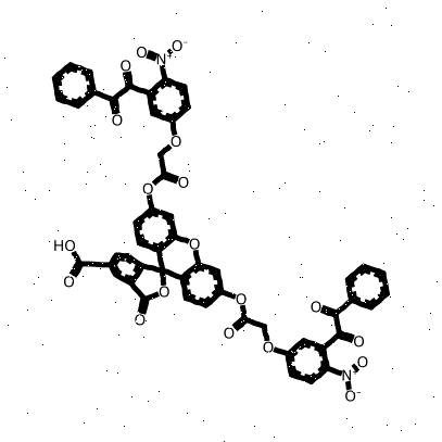 O=C(COc1ccc([N+](=O)[O-])c(C(=O)C(=O)c2ccccc2)c1)Oc1ccc2c(c1)Oc1cc(OC(=O)COc3ccc([N+](=O)[O-])c(C(=O)C(=O)c4ccccc4)c3)ccc1C21OC(=O)c2cc(C(=O)O)ccc21